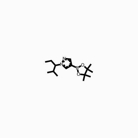 CCC(C(C)C)n1cc(B2OC(C)(C)C(C)(C)O2)cn1